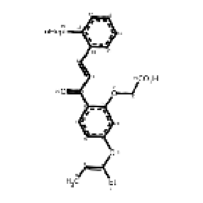 CC=C(CC)Oc1ccc(C(=O)C=Cc2ccccc2CCCCCCC)c(OCC(=O)O)c1